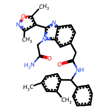 Cc1ccc(C(NC(=O)Cc2ccc3nc(-c4c(C)noc4C)n(CC(N)=O)c3c2)c2ccccc2)c(C)c1